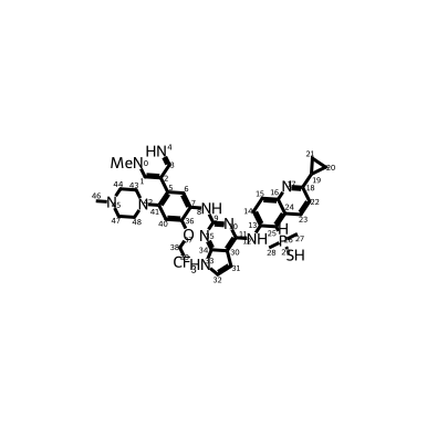 CN/C=C(\C=N)c1cc(Nc2nc(Nc3ccc4nc(C5CC5)ccc4c3[PH](C)(C)S)c3cc[nH]c3n2)c(OCC(F)(F)F)cc1N1CCN(C)CC1